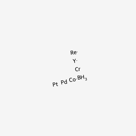 B.[Co].[Cr].[Pd].[Pt].[Re].[Y]